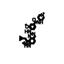 CN/C(CC1CC1)=C1\C(=N)CCc2cnc(Nc3ccc(C(=O)NC4CCN(C)CC4)cc3OC)nc21